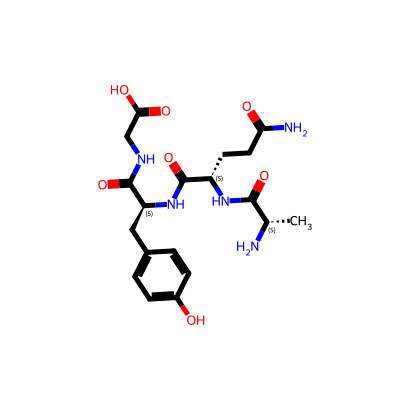 C[C@H](N)C(=O)N[C@@H](CCC(N)=O)C(=O)N[C@@H](Cc1ccc(O)cc1)C(=O)NCC(=O)O